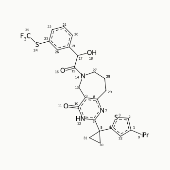 CC(C)c1csc(C2(c3nc4c(c(=O)[nH]3)CN(C(=O)C(O)c3cccc(SC(F)(F)F)c3)CCC4)CC2)c1